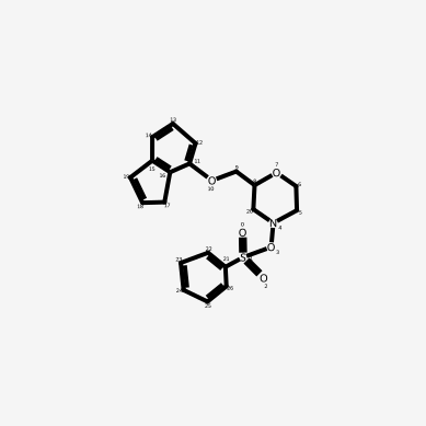 O=S(=O)(ON1CCOC(COc2cccc3c2CC=C3)C1)c1ccccc1